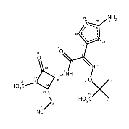 CC(C)(ON=C(C(=O)N[C@H]1C(=O)N(S(=O)(=O)O)[C@H]1CC#N)c1csc(N)n1)C(=O)O